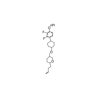 C=CCCC1CCC(COC2CCC(c3ccc(OCCC)c(F)c3F)CC2)CO1